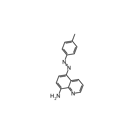 Cc1ccc(N=Nc2ccc(N)c3ncccc23)cc1